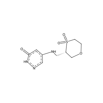 O=c1cc(NC[C@H]2COCCS2(=O)=O)cn[nH]1